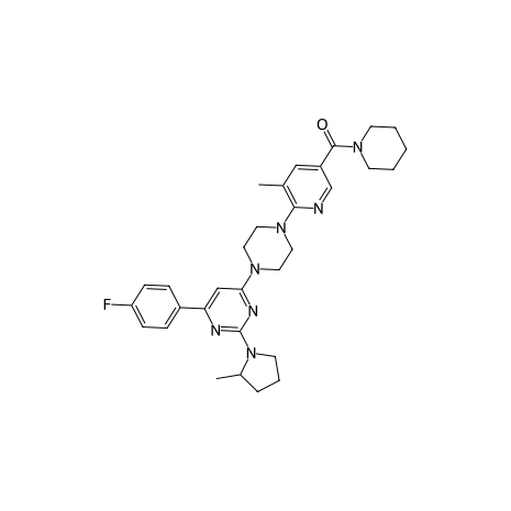 Cc1cc(C(=O)N2CCCCC2)cnc1N1CCN(c2cc(-c3ccc(F)cc3)nc(N3CCCC3C)n2)CC1